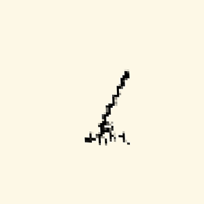 CCCCCCCCCCCc1cc(C(=O)OCC)c(N)s1